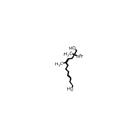 CCCC(C)(CO)CC=C(C)CCCC=CCCO